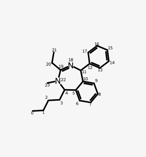 CCCCC1c2ccccc2C(c2ccccc2)N=C(CC)N1C